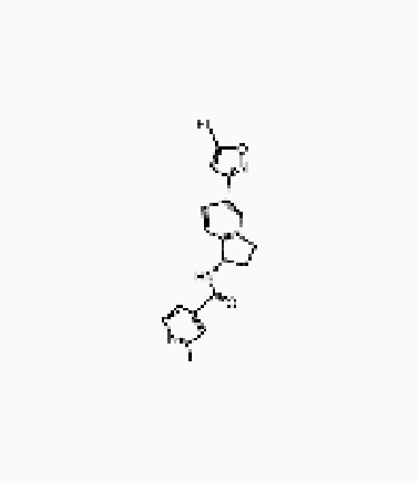 CCc1cc(-c2ccc3c(c2)CC[C@H]3NC(=O)c2ccnc(C)c2)no1